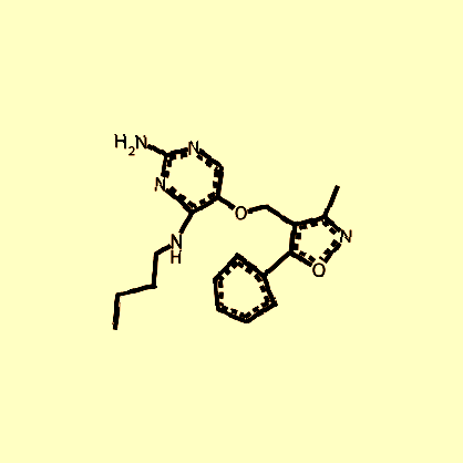 CCCCNc1nc(N)ncc1OCc1c(C)noc1-c1ccccc1